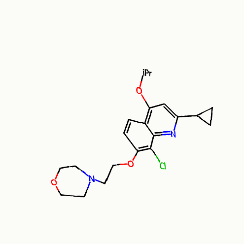 CC(C)Oc1cc(C2CC2)nc2c(Cl)c(OCCN3CCOCC3)ccc12